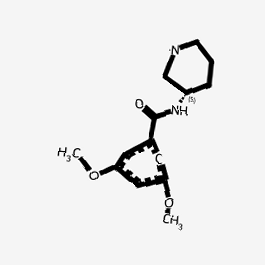 COc1cc(OC)cc(C(=O)N[C@H]2CCC[N]C2)c1